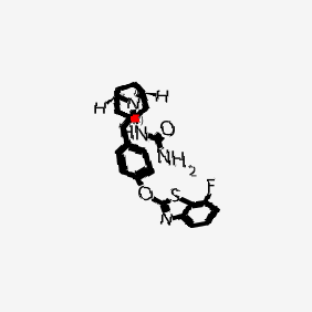 NC(=O)N[C@H]1C[C@H]2CC[C@@H](C1)N2CCc1ccc(Oc2nc3cccc(F)c3s2)cc1